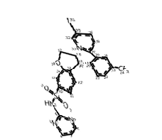 O=S(=O)(Nc1ncccn1)c1ccc2c(c1)OCC[C@@H]2c1ccc(C(F)(F)F)cc1-c1ccc(I)cn1